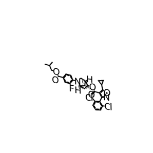 CC(C)COC(=O)c1ccc(N2C[C@@H]3C[C@H]2C[C@H]3OC(=O)c2c(-c3c(Cl)cccc3Cl)noc2C2CC2)c(F)c1